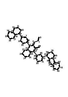 C=C/C=c1/c(-c2ccc(-c3cccc4ccccc34)cc2)c2ccccc2c(-c2cccc(-c3cccc4c3sc3ccccc34)c2)c1=C